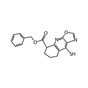 O=C(OCc1ccccc1)C1CCCc2c1nc1ocnc1c2S